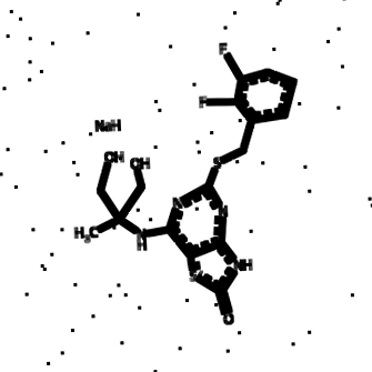 CC(CO)(CO)Nc1nc(SCc2cccc(F)c2F)nc2[nH]c(=O)sc12.[NaH]